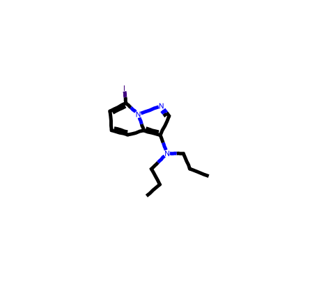 CCCN(CCC)c1cnn2c(I)cccc12